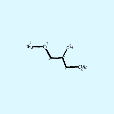 CC(=O)OCC(O)COC(C)(C)C